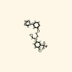 O=CN(CCOc1cccc(-n2cnnn2)c1)c1ccc(Cl)c(C(F)(F)F)c1